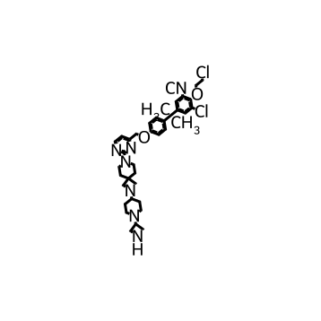 CC(C)(c1ccc(OCc2ccnc(N3CCC4(CC3)CN(C3CCN(C5CNC5)CC3)C4)n2)cc1)c1cc(Cl)c(OCCCl)c(C#N)c1